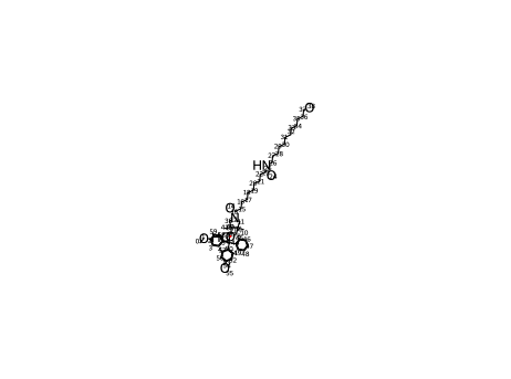 COc1ccc(C(OC[C@@]2(C)CN(C(=O)CCCCCCCCC(=O)NCCCCCCCCCCCC=O)C[C@@]2(C)CO)(c2ccccc2)c2ccc(OC)cc2)cc1